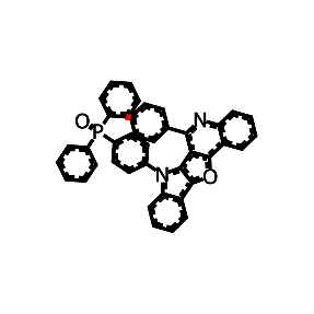 O=P(c1ccccc1)(c1ccccc1)c1ccc(-n2c3ccccc3c3oc4c5ccccc5nc(-c5ccccc5)c4c32)cc1